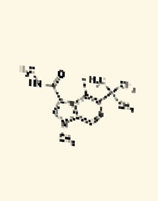 CNC(=O)c1cn(C)c2ccc(C(C)(C)C)c(F)c12